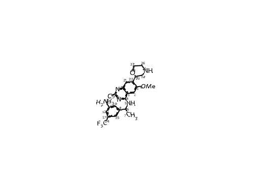 COc1cc2c(NC(C)c3cc(N)cc(C(F)(F)F)c3)nc(C)nc2cc1[C@@H]1CNCCO1